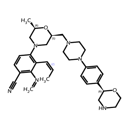 C=Nc1c(C#N)ccc(N2C[C@H](CN3CCN(c4ccc([C@@H]5CNCCO5)cc4)CC3)O[C@H](C)C2)c1/C=C\C